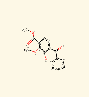 COC(=O)c1ccc(C(=O)c2ccccc2)c(O)c1OC